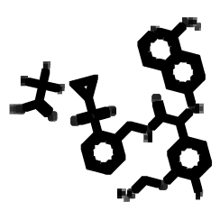 CCOc1cc(C(Nc2ccc3c(N)nccc3c2)C(=O)NCc2ccccc2S(=O)(=O)C2CC2)ccc1F.O=C(O)C(F)(F)F